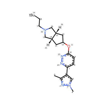 Cc1nn(C)cc1-c1ccc(OC2C[C@@H]3CN(CCC(C)(C)C)C[C@@H]3C2)nn1